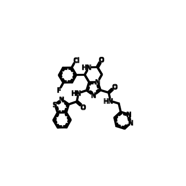 O=C1Cn2c(C(=O)NCc3cccnn3)nc(NC(=O)c3nsc4ccccc34)c2C(c2cc(F)ccc2Cl)N1